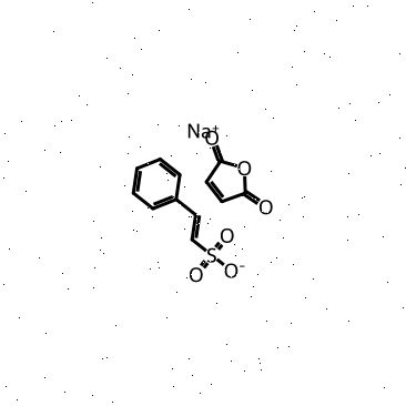 O=C1C=CC(=O)O1.O=S(=O)([O-])C=Cc1ccccc1.[Na+]